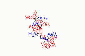 NCC1OC(OC2C(CO)O[C@@H](OC3C(OC4OC(CO)C(O)C(O)C4N)C(N)C[C@@H](N)C3O)C2O)C(N)C(O)[C@@H]1O